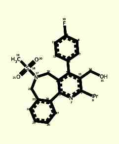 CC(C)c1nc2c(c(-c3ccc(F)cc3)c1CO)CN(S(C)(=O)=O)Cc1ccccc1-2